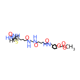 COC(=O)COc1cccc(CNC(=O)CCCCC(=O)NCCNC(=O)CCCC[C@@H]2SC[C@@H]3NC(=O)N[C@@H]32)c1